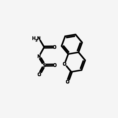 NC(=O)N=S(=O)=O.O=c1ccc2ccccc2o1